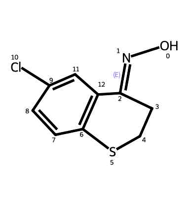 O/N=C1\CCSc2ccc(Cl)cc21